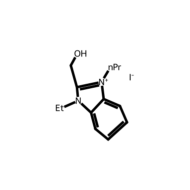 CCC[n+]1c(CO)n(CC)c2ccccc21.[I-]